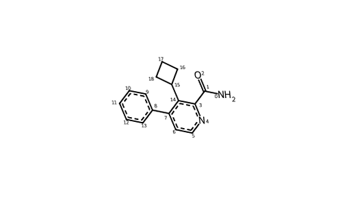 NC(=O)c1nccc(-c2ccccc2)c1C1CCC1